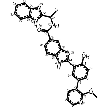 COc1ncccc1-c1ccc(O)c(-c2nc3cc(C(=O)NC(C)c4nc5ccccc5[nH]4)ccc3[nH]2)c1